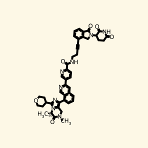 C[C@@H]1C(=O)N(C)Cc2c(-c3cccc4cc(-c5ccc(C(=O)NCCC#Cc6cccc7c6CN(C6CCC(=O)NC6=O)C7=O)nc5)ncc34)nc(C3CCOCC3)n21